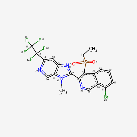 CCS(=O)(=O)c1c(-c2nc3cc(C(F)(F)C(F)(F)F)ncc3n2C)ncc2c(Br)cccc12